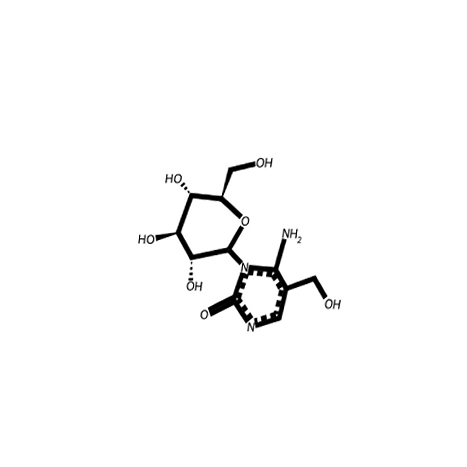 Nc1c(CO)cnc(=O)n1C1O[C@H](CO)[C@@H](O)[C@H](O)[C@H]1O